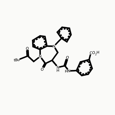 CC(C)(C)C(=O)CN1C(=O)C(NC(=O)Nc2cccc(C(=O)O)c2)CN(c2ccccc2)c2ccccc21